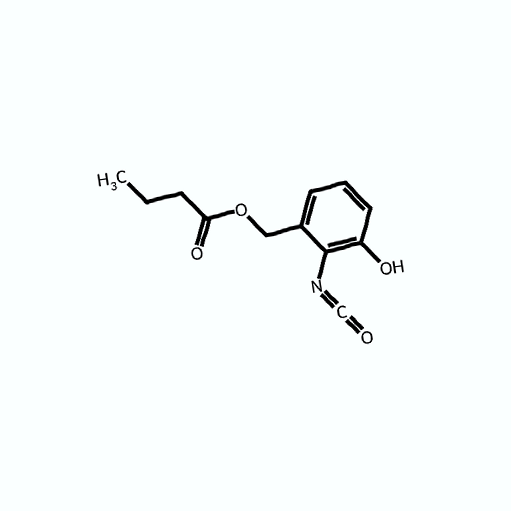 CCCC(=O)OCc1cccc(O)c1N=C=O